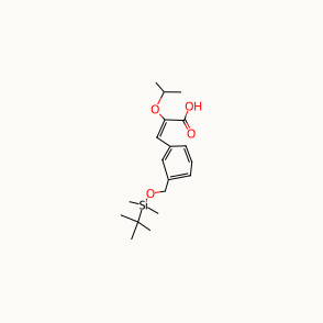 CC(C)O/C(=C/c1cccc(CO[Si](C)(C)C(C)(C)C)c1)C(=O)O